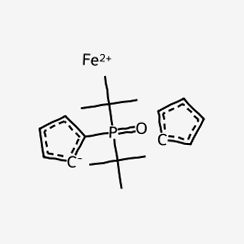 CC(C)(C)P(=O)(c1ccc[cH-]1)C(C)(C)C.[Fe+2].c1cc[cH-]c1